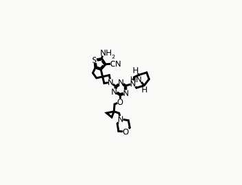 N#Cc1c(N)sc2c1C1(CC2)CN(c2nc(OCC3(CN4CCOCC4)CC3)nc(N3C[C@H]4CC[C@@H](C3)N4)n2)C1